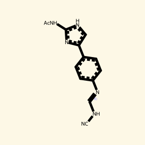 CC(=O)Nc1nc(-c2ccc(/N=C/NC#N)cc2)c[nH]1